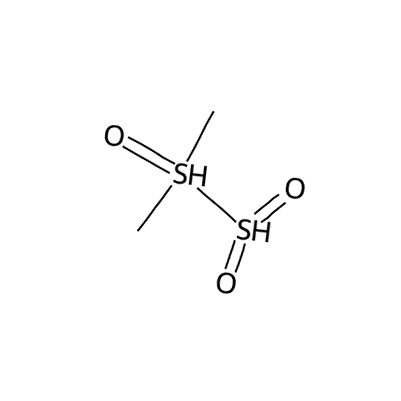 C[SH](C)(=O)[SH](=O)=O